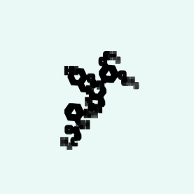 C=CC(=O)Nc1ccccc1Nc1ncc2c(n1)N(CC1CCNCC1)C(=O)N(c1cc(OC)cc(OC)c1)C2